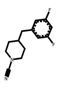 N#CN1CCC(Cc2cc(F)cc(F)c2)CC1